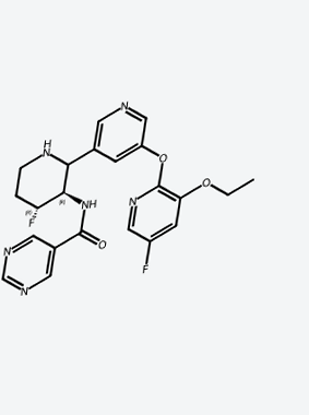 CCOc1cc(F)cnc1Oc1cncc(C2NCC[C@@H](F)[C@@H]2NC(=O)c2cncnc2)c1